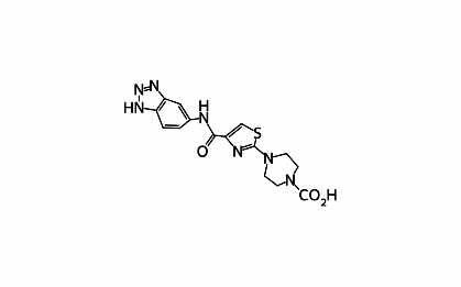 O=C(Nc1ccc2[nH]nnc2c1)c1csc(N2CCN(C(=O)O)CC2)n1